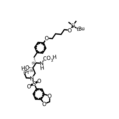 CC(C)CN(C[C@H](O)[C@H](Cc1ccc(OCCCCO[Si](C)(C)C(C)(C)C)cc1)NC(=O)O)S(=O)(=O)c1ccc2c(c1)OCO2